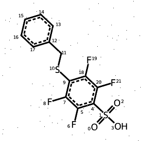 O=S(=O)(O)c1c(F)c(F)c(SCc2ccccc2)c(F)c1F